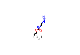 [N-]=[N+]=NCCNC(=O)OCCC(=O)O